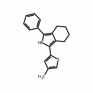 Cc1csc(-c2[nH]c(-c3ccccc3)c3c2CCCC3)c1